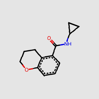 O=C(NC1CC1)c1cccc2c1CCCO2